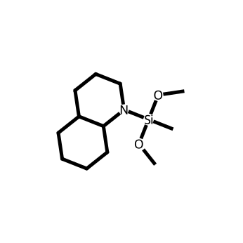 CO[Si](C)(OC)N1CCCC2CCCCC21